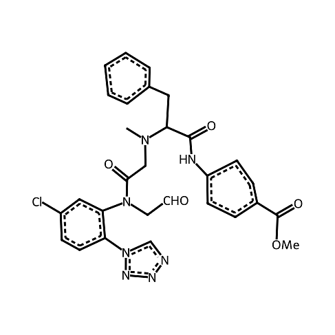 COC(=O)c1ccc(NC(=O)C(Cc2ccccc2)N(C)CC(=O)N(CC=O)c2cc(Cl)ccc2-n2cnnn2)cc1